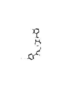 CC(C)Oc1ccc(-c2cc(Cn3cc4nc(-c5cccc(F)c5F)nc-4cn3)on2)cc1